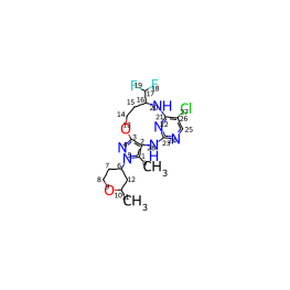 Cc1c2c(nn1C1CCOC(C)C1)OCCC(C(F)F)Nc1nc(ncc1Cl)N2